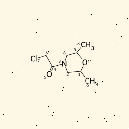 CC1CN(C(=O)CCl)CC(C)O1